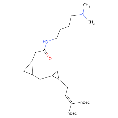 CCCCCCCCCCC(=CCC1CC1CC1CC1CC(=O)NCCCCN(C)C)CCCCCCCCCC